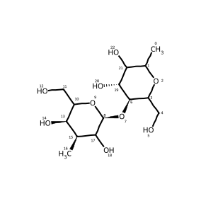 CC1OC(CO)[C@@H](O[C@@H]2OC(CO)[C@H](O)[C@H](C)C2O)[C@H](O)C1O